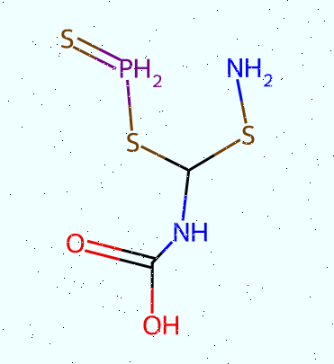 NSC(NC(=O)O)S[PH2]=S